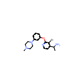 CCc1c(C(C)N)ccnc1Oc1cccc(N2CCN(C)CC2)c1